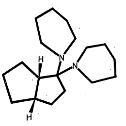 C1CCN(C2(N3CCCCC3)CC[C@@H]3CCC[C@@H]32)CC1